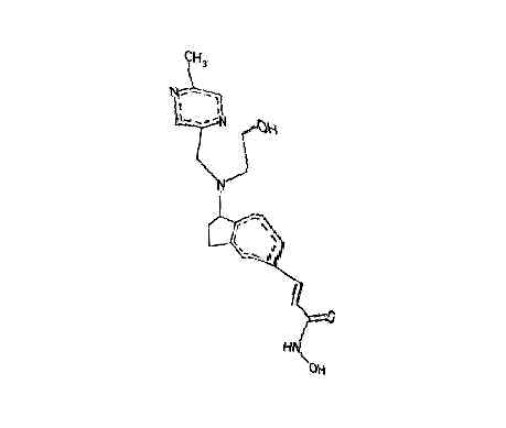 Cc1cnc(CN(CCO)C2CCc3cc(C=CC(=O)NO)ccc32)cn1